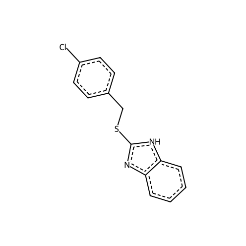 Clc1ccc(CSc2nc3ccccc3[nH]2)cc1